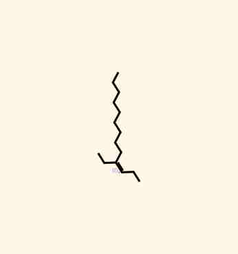 CC/[C]=C(/CC)CCCCCCCCC